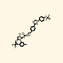 Cc1ccc(C2CC2(F)F)c(N2C(=O)CN/C2=N\C(=O)NCCc2ccc(-c3ncn(-c4ccc(OC(F)(F)F)cc4)n3)cc2)c1